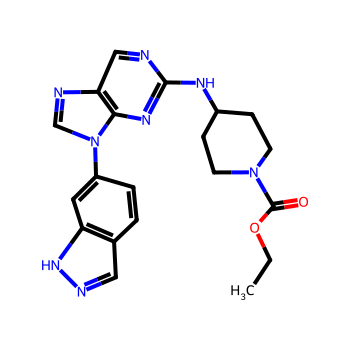 CCOC(=O)N1CCC(Nc2ncc3ncn(-c4ccc5cn[nH]c5c4)c3n2)CC1